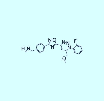 COCC1C=C(c2nc(-c3ccc(CN)cc3)no2)N=NN1c1ccccc1F